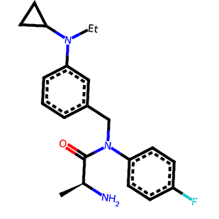 CCN(c1cccc(CN(C(=O)[C@H](C)N)c2ccc(F)cc2)c1)C1CC1